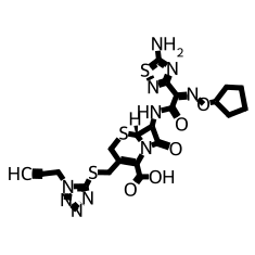 C#CCn1nnnc1SCC1=C(C(=O)O)N2C(=O)C(NC(=O)/C(=N\OC3CCCC3)c3nsc(N)n3)[C@H]2SC1